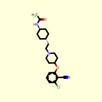 CC(=O)N[C@H]1CC[C@H](CCN2CCC(Oc3cccc(Cl)c3C#N)CC2)CC1